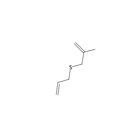 C=CCSCC(=C)C